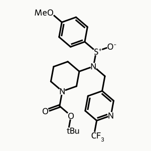 COc1ccc([S+]([O-])N(Cc2ccc(C(F)(F)F)nc2)C2CCCN(C(=O)OC(C)(C)C)C2)cc1